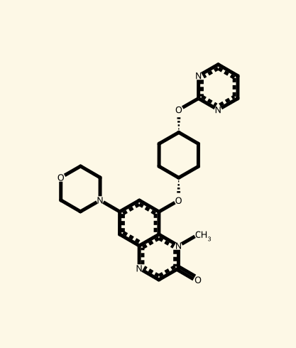 Cn1c(=O)cnc2cc(N3CCOCC3)cc(O[C@H]3CC[C@@H](Oc4ncccn4)CC3)c21